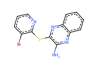 Nc1nc2ccccc2nc1Sc1ncccc1Br